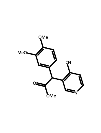 COC(=O)C(c1ccc(OC)c(OC)c1)c1cnccc1C#N